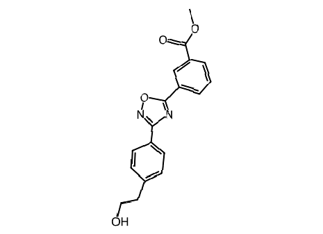 COC(=O)c1cccc(-c2nc(-c3ccc(CCO)cc3)no2)c1